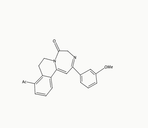 COc1cccc(C2=NCC(=O)N3CCc4c(C(C)=O)cccc4C3=C2)c1